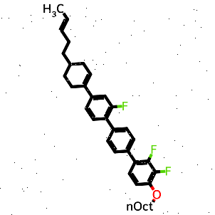 C/C=C/CCC1CC=C(c2ccc(-c3ccc(-c4ccc(OCCCCCCCC)c(F)c4F)cc3)c(F)c2)CC1